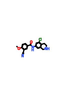 COc1ccc(C(=O)Nc2cc(Cl)c3c(c2)CNCC3)cc1C#N